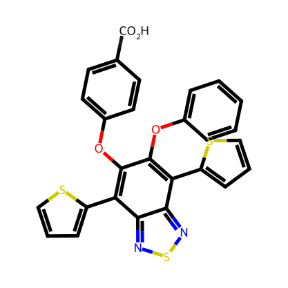 O=C(O)c1ccc(Oc2c(Oc3ccccc3)c(-c3cccs3)c3nsnc3c2-c2cccs2)cc1